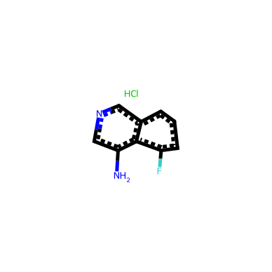 Cl.Nc1cncc2cccc(F)c12